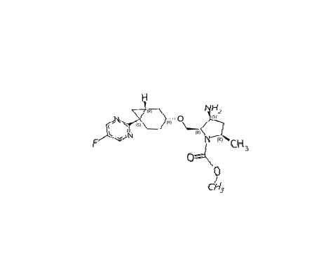 COC(=O)N1[C@H](C)C[C@H](N)[C@@H]1CO[C@@H]1CC[C@]2(c3ncc(F)cn3)C[C@@H]2C1